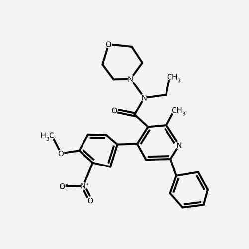 CCN(C(=O)c1c(-c2ccc(OC)c([N+](=O)[O-])c2)cc(-c2ccccc2)nc1C)N1CCOCC1